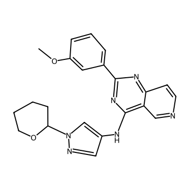 COc1cccc(-c2nc(Nc3cnn(C4CCCCO4)c3)c3cnccc3n2)c1